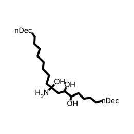 CCCCCCCCCCCCCCCCCCC(N)(O)CC(O)C(O)CCCCCCCCCCCCCC